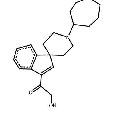 O=C(CO)C1=CC2(CCN(C3CCCCCC3)CC2)c2ccccc21